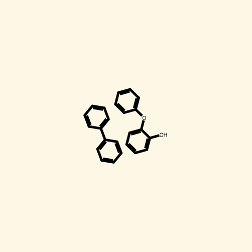 Oc1ccccc1Oc1ccccc1.c1ccc(-c2ccccc2)cc1